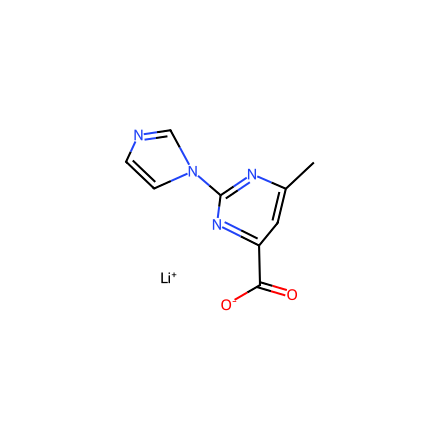 Cc1cc(C(=O)[O-])nc(-n2ccnc2)n1.[Li+]